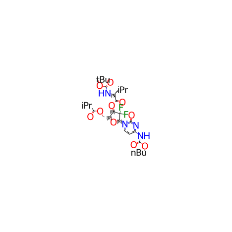 CCCCOC(=O)Nc1ccn([C@@H]2O[C@H](COC(=O)C(C)C)[C@@H](OC(=O)[C@@H](NC(=O)OC(C)(C)C)C(C)C)C2(F)F)c(=O)n1